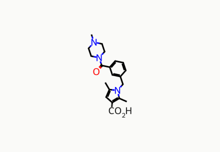 Cc1cc(C(=O)O)c(C)n1Cc1cccc(C(=O)N2CCN(C)CC2)c1